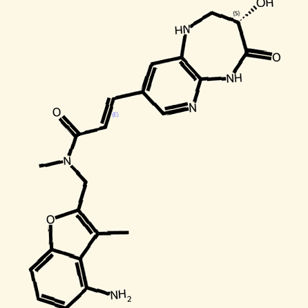 Cc1c(CN(C)C(=O)/C=C/c2cnc3c(c2)NC[C@H](O)C(=O)N3)oc2cccc(N)c12